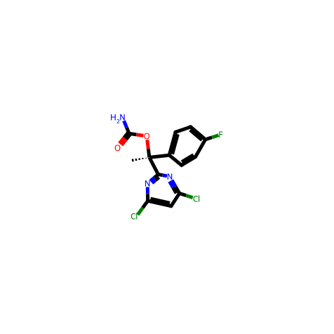 C[C@](OC(N)=O)(c1ccc(F)cc1)c1nc(Cl)cc(Cl)n1